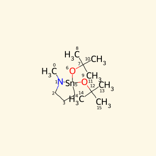 C[N]1CC[CH2][Sn]1([O]C(C)(C)C)[O]C(C)(C)C